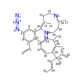 C=Cc1cc(N=[N+]=[N-])cc(/C2=C(/C)CC/N=C(/C)CCN2)c1C1=CC(C)C(C)=C(C(F)(C=C)/C=C/C)C=C1